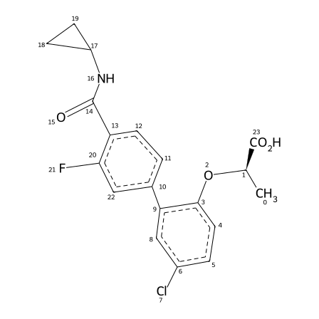 C[C@@H](Oc1ccc(Cl)cc1-c1ccc(C(=O)NC2CC2)c(F)c1)C(=O)O